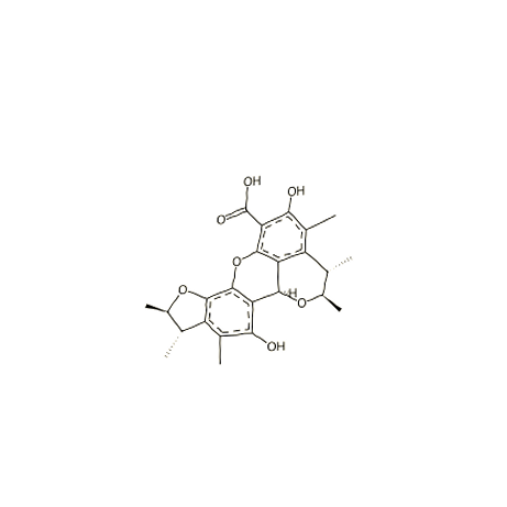 Cc1c(O)c2c(c3c1[C@H](C)[C@@H](C)O3)Oc1c(C(=O)O)c(O)c(C)c3c1[C@H]2O[C@H](C)[C@H]3C